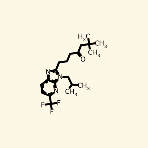 CC(C)Cn1c(CCCC(=O)CC(C)(C)C)nc2ccc(C(F)(F)F)nc21